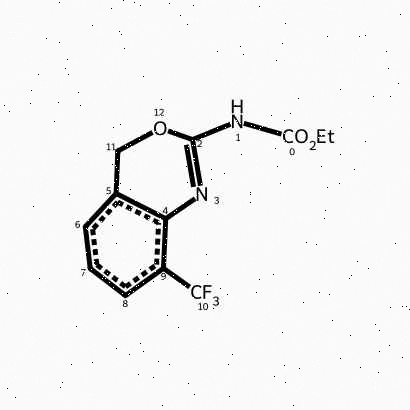 CCOC(=O)NC1=Nc2c(cccc2C(F)(F)F)CO1